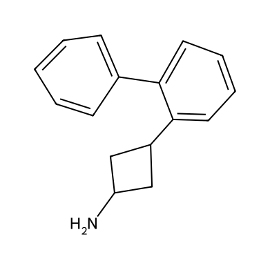 NC1CC(c2ccccc2-c2ccccc2)C1